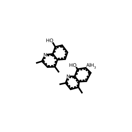 Cc1cc(C)c2cccc(O)c2n1.Cc1cc(C)c2cccc(O)c2n1.[AlH3]